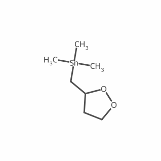 [CH3][Sn]([CH3])([CH3])[CH2]C1CCOO1